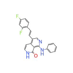 O=c1[nH]ccc2c(C=Cc3ccc(F)cc3F)cnc(Nc3ccccc3)c12